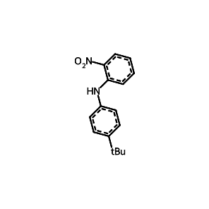 CC(C)(C)c1ccc(Nc2ccccc2[N+](=O)[O-])cc1